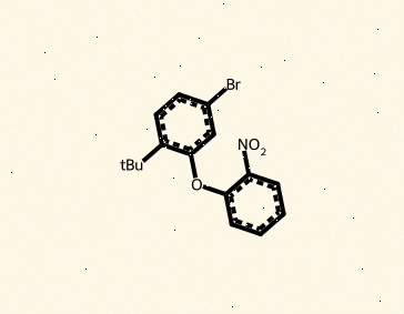 CC(C)(C)c1ccc(Br)cc1Oc1ccccc1[N+](=O)[O-]